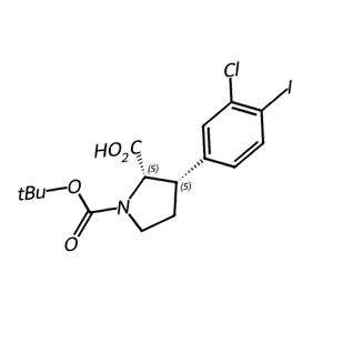 CC(C)(C)OC(=O)N1CC[C@@H](c2ccc(I)c(Cl)c2)[C@H]1C(=O)O